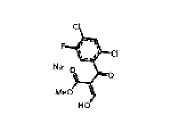 COC(=O)/C(=C\O)C(=O)c1cc(F)c(Cl)cc1Cl.[Na]